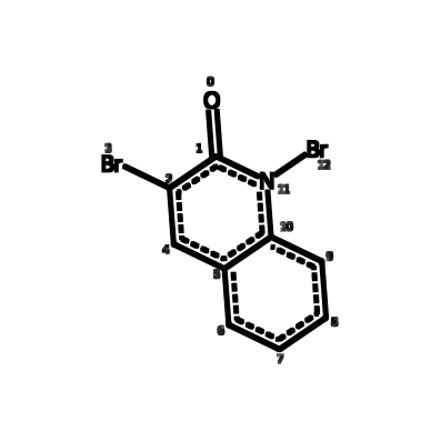 O=c1c(Br)cc2ccccc2n1Br